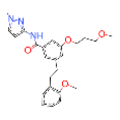 COCCCOc1cc(CCc2ccccc2OC)cc(C(=O)Nc2ccn(C)n2)c1